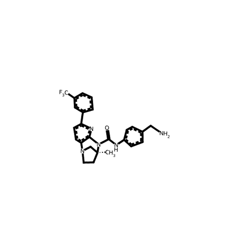 C[C@]12CCN(C1)c1ccc(-c3cccc(C(F)(F)F)c3)nc1N2C(=O)Nc1ccc(CN)cc1